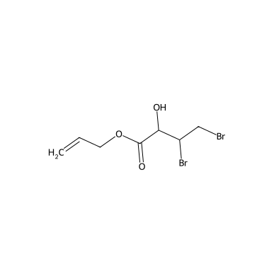 C=CCOC(=O)C(O)C(Br)CBr